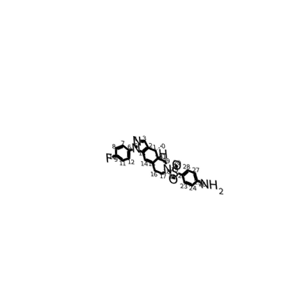 C[C@H]1c2cnn(-c3ccc(F)cc3)c2C=C2CCN(S(=O)(=O)c3ccc(N)cc3)C[C@H]21